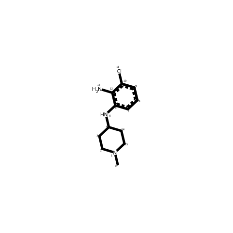 CN1CCC(Nc2cccc(Cl)c2N)CC1